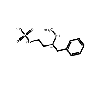 CCCS(=O)(=O)NCC[C@H](Cc1ccccc1)NC(=O)O